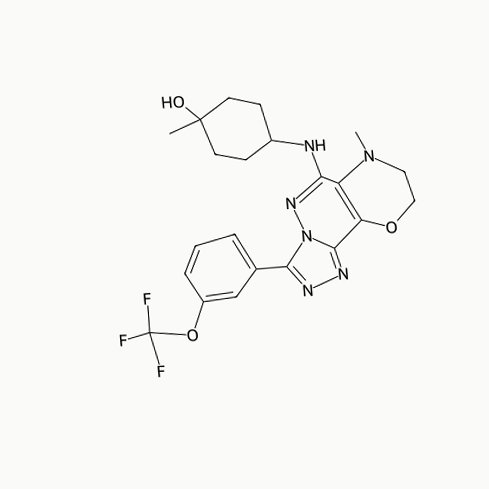 CN1CCOc2c1c(NC1CCC(C)(O)CC1)nn1c(-c3cccc(OC(F)(F)F)c3)nnc21